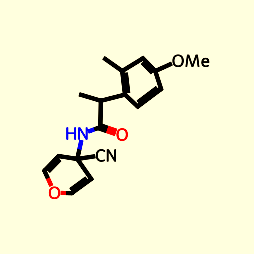 COc1ccc(C(C)C(=O)NC2(C#N)C=COC=C2)c(C)c1